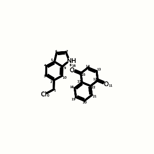 ClCc1ccc2cc[nH]c2c1.O=C1C=CC(=O)c2ccccc21